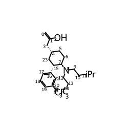 C=C(O)C[C@@H]1CC[C@@H](N(CCC(C)C)CCC(F)(F)F)[C@H](c2cccc(C(F)(F)F)c2)C1